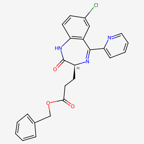 O=C(CC[C@@H]1N=C(c2ccccn2)c2cc(Cl)ccc2NC1=O)OCc1ccccc1